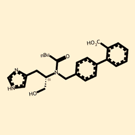 CCCCC(=O)N(Cc1ccc(-c2ccccc2C(=O)O)cc1)[C@H](CO)Cc1c[nH]cn1